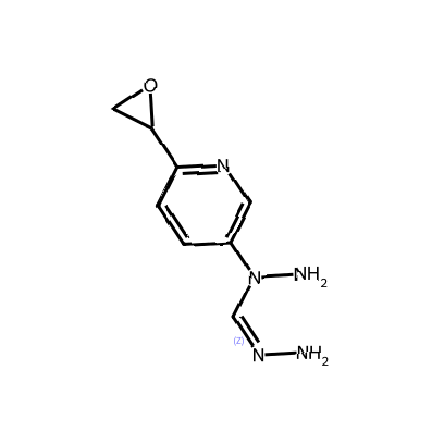 N/N=C\N(N)c1ccc(C2CO2)nc1